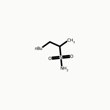 CCCCCC(C)S(N)(=O)=O